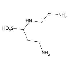 NCCNC(CCN)S(=O)(=O)O